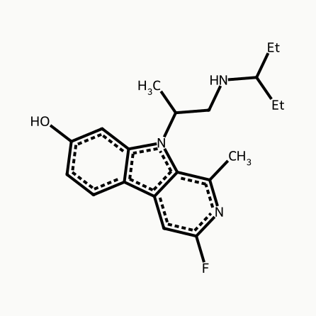 CCC(CC)NCC(C)n1c2cc(O)ccc2c2cc(F)nc(C)c21